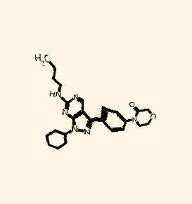 CCCCNc1ncc2c(-c3ccc(N4CCOCC4=O)cc3)nn(C3CCCCC3)c2n1